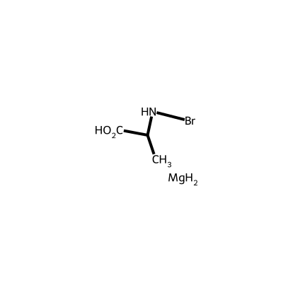 CC(NBr)C(=O)O.[MgH2]